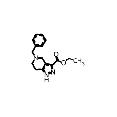 CCOC(=O)c1n[nH]c2c1CN(Cc1ccccc1)CC2